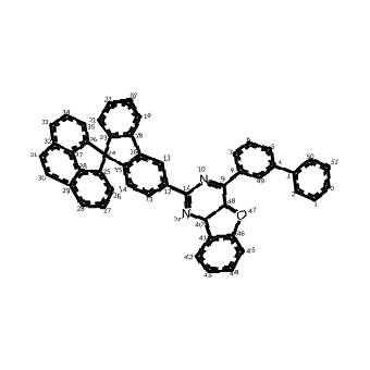 c1ccc(-c2cccc(C3=NC(c4ccc5c(c4)-c4ccccc4C54c5cccc6ccc7cccc4c7c56)=NC4c5ccccc5OC34)c2)cc1